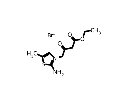 CCOC(=O)CC(=O)C[n+]1cc(C)sc1N.[Br-]